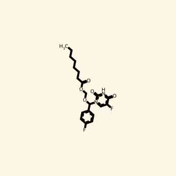 CCCCCCCC(=O)OCOC(c1ccc(F)cc1)n1cc(F)c(=O)[nH]c1=O